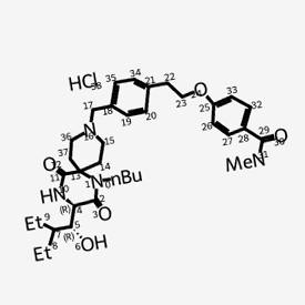 CCCCN1C(=O)[C@@H]([C@H](O)C(CC)CC)NC(=O)C12CCN(Cc1ccc(CCOc3ccc(C(=O)NC)cc3)cc1)CC2.Cl